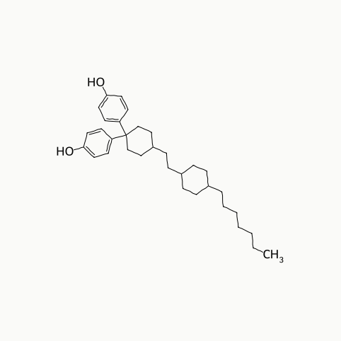 CCCCCCCC1CCC(CCC2CCC(c3ccc(O)cc3)(c3ccc(O)cc3)CC2)CC1